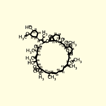 CO[C@H]1C[C@@H]2CC[C@@H](C)[C@@](O)(O2)C(=O)C(=O)N2CCCC[C@H]2C(=O)O[C@H]([C@H](C)C[C@@H]2CC[C@@H](O)[C@H](OC)C2)CC(=O)[C@H](C)/C=C(\C)C(O)[C@@H](OC)C(=O)[C@H](C)C[C@H](C)/C=C/C=C/C=C/1C